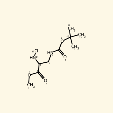 COC(=O)C(CNC(=O)OC(C)(C)C)NCl